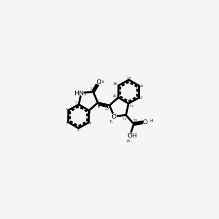 O=C1Nc2ccccc2C1=C1OC(C(=O)O)c2ccccc21